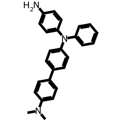 CN(C)c1ccc(-c2ccc(N(c3ccccc3)c3ccc(N)cc3)cc2)cc1